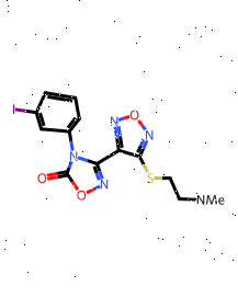 CNCCSc1nonc1-c1noc(=O)n1-c1cccc(I)c1